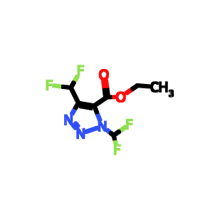 CCOC(=O)c1c(C(F)F)nnn1C(F)F